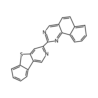 c1ccc2c(c1)ccc1cnc(-c3cc4sc5ccccc5c4cn3)nc12